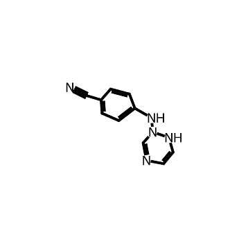 N#Cc1ccc(NN2C=NC=CN2)cc1